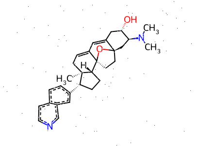 CN(C)[C@H]1C[C@@]23CC[C@@]4(O2)C(=CC[C@]2(C)[C@@H](c5ccc6ccncc6c5)CC[C@H]24)C=C3C[C@@H]1O